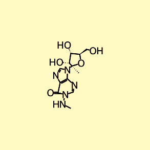 CNn1cnc2c(ncn2[C@]2(C)O[C@H](CO)[C@@H](O)[C@H]2O)c1=O